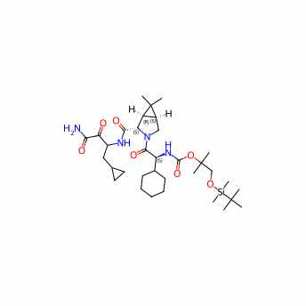 CC(C)(CO[Si](C)(C)C(C)(C)C)OC(=O)N[C@H](C(=O)N1C[C@H]2[C@@H]([C@H]1C(=O)NC(CC1CC1)C(=O)C(N)=O)C2(C)C)C1CCCCC1